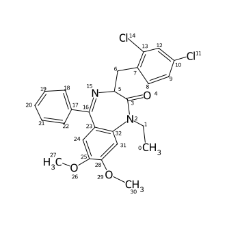 CCN1C(=O)C(Cc2ccc(Cl)cc2Cl)N=C(c2ccccc2)c2cc(OC)c(OC)cc21